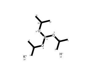 CC(C)OB(OC(C)C)OC(C)C.[H-].[K+]